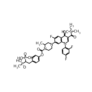 CC1CN(c2cc3c(cc2F)c(=O)c(C(=O)[Si](C)(C)C)cn3-c2ccc(F)cc2F)CCN1C(=O)Oc1ccc(CC(P(C)(=O)O)P(=O)(O)O)cc1